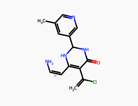 C=C(Cl)C1=C(/C=C\N)NC(c2cncc(C)c2)NC1=O